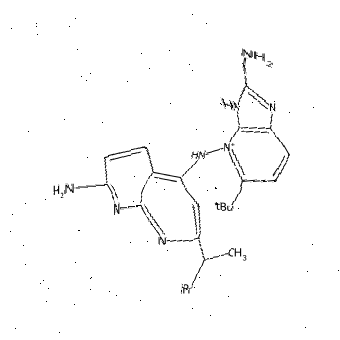 CC(C)C(C)c1cc(N[n+]2c(C(C)(C)C)ccc3nc(N)[nH]c32)c2ccc(N)nc2n1